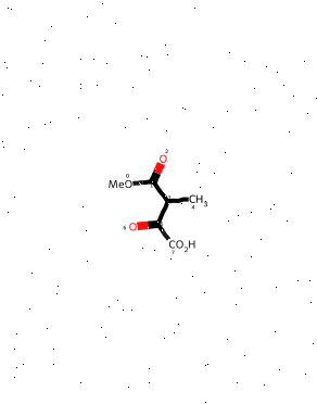 COC(=O)C(C)C(=O)C(=O)O